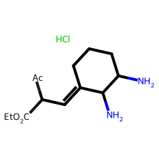 CCOC(=O)C(C=C1CCCC(N)C1N)C(C)=O.Cl